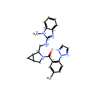 Cc1ccc(-n2nccn2)c(C(=O)N2CC3CC3C2CNc2nc3ccccc3n2C)c1